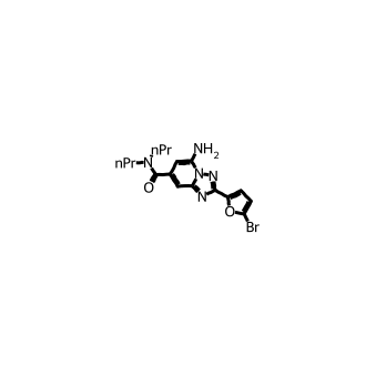 CCCN(CCC)C(=O)c1cc(N)n2nc(-c3ccc(Br)o3)nc2c1